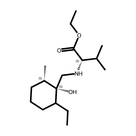 CCOC(=O)[C@@H](NC[C@@]1(O)C(CC)CCC[C@@H]1C)C(C)C